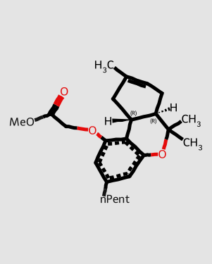 CCCCCc1cc(OCC(=O)OC)c2c(c1)OC(C)(C)[C@@H]1CC=C(C)C[C@@H]21